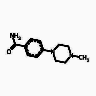 CN1CCN(c2ccc(C(N)=O)cc2)CC1